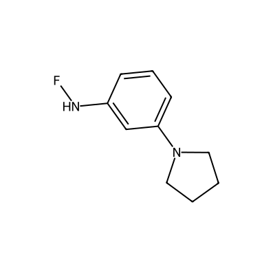 FNc1cccc(N2CCCC2)c1